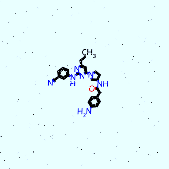 CCCc1cc(N2CCC(NC(=O)Cc3ccc(N)cc3)C2)nc(Nc2cccc(C#N)c2)n1